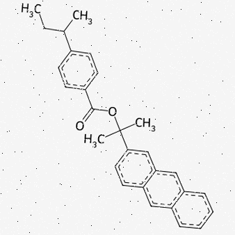 CCC(C)c1ccc(C(=O)OC(C)(C)c2ccc3cc4ccccc4cc3c2)cc1